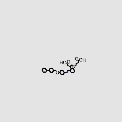 O=C(O)CCCn1cc(CC(=O)O)c2c(/C=C/c3ccc(OCc4ccc(-c5ccccc5)cc4)cc3)cccc21